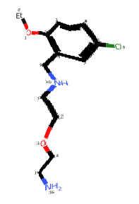 CCOc1ccc(Cl)cc1CNCCOCCN